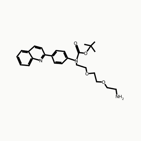 CC(C)(C)OC(=O)N(CCOCCOCCN)c1ccc(-c2ccc3ccccc3n2)cc1